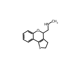 CNCC1Oc2ccccc2C2=C1CCS2